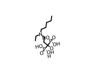 CCCCCN(CC)CCC(O)(P(=O)(O)O)P(=O)(O)O